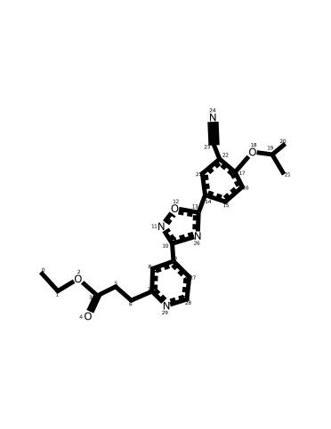 CCOC(=O)CCc1cc(-c2noc(-c3ccc(OC(C)C)c(C#N)c3)n2)ccn1